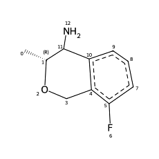 C[C@H]1OCc2c(F)cccc2C1N